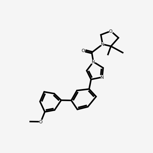 COc1cccc(-c2cccc(-c3cn(C(=O)N4COCC4(C)C)cn3)c2)c1